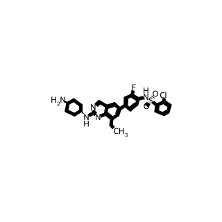 CCc1cc(-c2ccc(NS(=O)(=O)c3ccccc3Cl)c(F)c2)cc2cnc(N[C@H]3CC[C@H](N)CC3)nc12